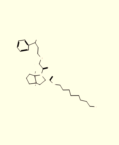 CCCCCCCCCCCCCCCCCCOC(=O)[C@@H]1C[C@@H]2CCC[C@@H]2N1C(=O)[C@H](C)NCCC(C(=O)OCC)c1ccccc1